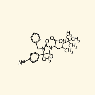 CC(CC(C(=O)O)N1C(=O)N(Cc2ccccc2)[C@@](C)(c2ccc(C#N)cc2)C1=O)CC(C)(C)C